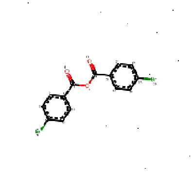 O=C(OC(=O)c1ccc(Br)cc1)c1ccc(Br)cc1